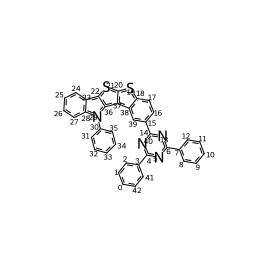 c1ccc(-c2nc(-c3ccccc3)nc(-c3ccc4sc5sc6c7ccccc7n(-c7ccccc7)c6c5c4c3)n2)cc1